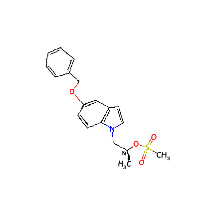 C[C@@H](Cn1ccc2cc(OCc3ccccc3)ccc21)OS(C)(=O)=O